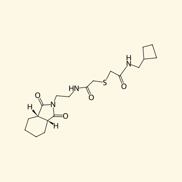 O=C(CSCC(=O)NCC1CCC1)NCCN1C(=O)[C@H]2CCCC[C@H]2C1=O